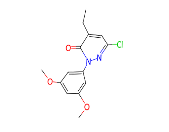 CCc1cc(Cl)nn(-c2cc(OC)cc(OC)c2)c1=O